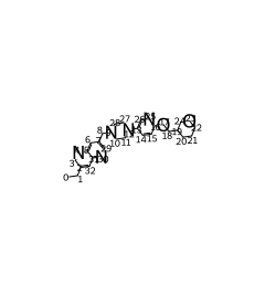 CCc1cnc2cc(CN3CCN(c4ccc(OCC5CCCOC5)nc4)CC3)cnc2c1